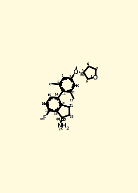 Cc1cc(O[C@@H]2CCOC2)cc(C)c1-c1ccc(F)c2c1CC[C@H]2N